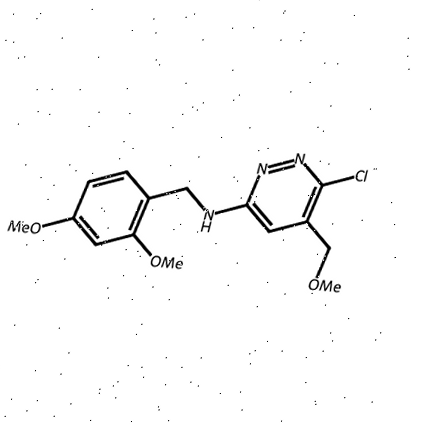 COCc1cc(NCc2ccc(OC)cc2OC)nnc1Cl